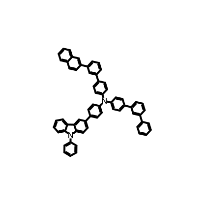 c1ccc(-c2cccc(-c3ccc(N(c4ccc(-c5cccc(-c6ccc7ccccc7c6)c5)cc4)c4ccc(-c5ccc6c(c5)c5ccccc5n6-c5ccccc5)cc4)cc3)c2)cc1